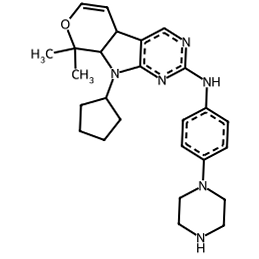 CC1(C)OC=CC2c3cnc(Nc4ccc(N5CCNCC5)cc4)nc3N(C3CCCC3)C21